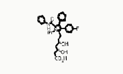 CC(C)n1c(CC[C@@H](O)C[C@@H](O)CC(=O)O)c(-c2ccc(F)cc2)c(-c2ccccc2)c1C(=O)Nc1ccccc1